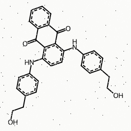 O=C1c2ccccc2C(=O)c2c(Nc3ccc(CCO)cc3)ccc(Nc3ccc(CCO)cc3)c21